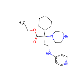 CCOC(=O)C(CCNc1ccncc1)(C1CCCCC1)N1CCNCC1